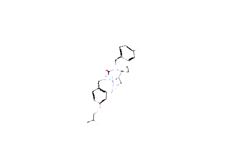 CC(C)COc1ccc(CNC(=O)N(Cc2ccc(F)cc2)C2(C3CN(C)C3)CC2)cc1